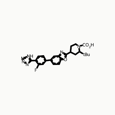 CC(C)(C)C1CC(c2nc3cc(-c4ccc(-c5nnn[nH]5)c(F)c4)ccc3o2)CCN1C(=O)O